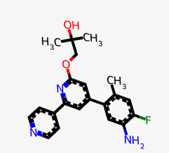 Cc1cc(F)c(N)cc1-c1cc(OCC(C)(C)O)nc(-c2ccncc2)c1